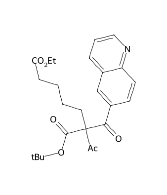 CCOC(=O)CCCCC(C(C)=O)(C(=O)OC(C)(C)C)C(=O)c1ccc2ncccc2c1